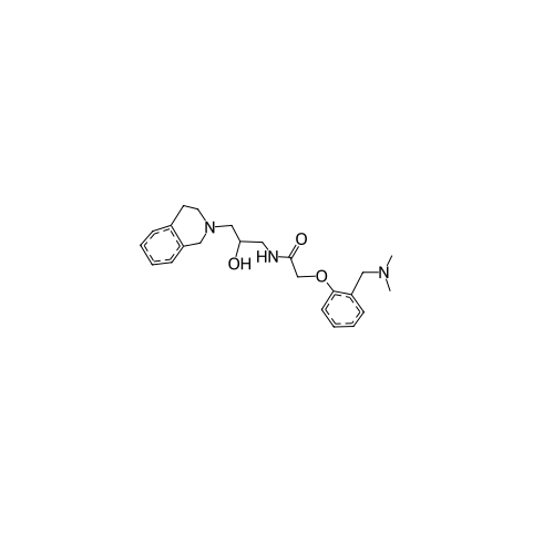 CN(C)Cc1ccccc1OCC(=O)NCC(O)CN1CCc2ccccc2C1